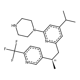 CC(C)c1cc(C[C@@H](C)c2ccc(C(F)(F)F)nc2)nc(N2CCNCC2)c1